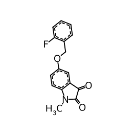 CN1C(=O)C(=O)c2cc(OCc3ccccc3F)ccc21